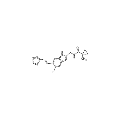 CC1(C(=O)NCc2cc3cc(F)c(C=Cc4ccon4)cc3[nH]2)CC1